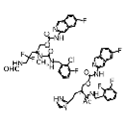 CC(=O)N(NCc1cccc(F)c1F)[C@@H](CCc1ncc[nH]1)COC(=O)Nc1cc2cc(F)ccc2cn1.CN(C(=O)NCc1cccc(F)c1Cl)[C@H](COC(=O)Nc1cc2cc(F)ccc2cn1)CC(F)(F)CNC=O